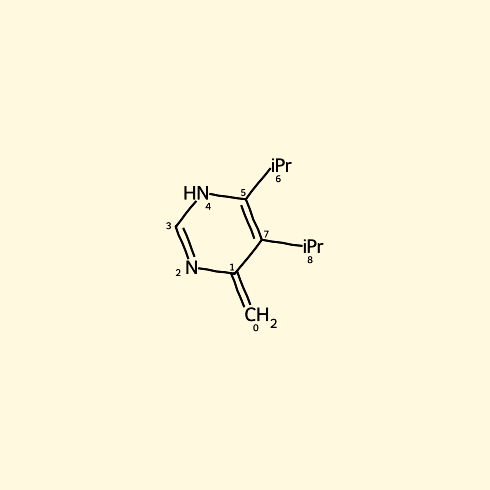 C=C1N=CNC(C(C)C)=C1C(C)C